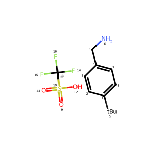 CC(C)(C)c1ccc(CN)cc1.O=S(=O)(O)C(F)(F)F